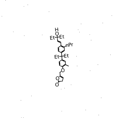 CCCc1cc(C(CC)(CC)c2ccc(OCC3=CCC(=O)O3)c(C)c2)ccc1C=CC(O)(CC)CC